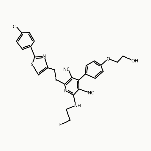 [C-]#[N+]c1c(NCCF)nc(SCc2csc(-c3ccc(Cl)cc3)n2)c(C#N)c1-c1ccc(OCCO)cc1